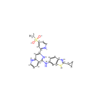 CS(=O)(=O)c1ccnc(-c2cc3ncccc3c(Nc3ccc4nc(C5CC5)sc4c3)n2)c1